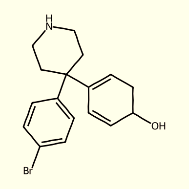 OC1C=CC(C2(c3ccc(Br)cc3)CCNCC2)=CC1